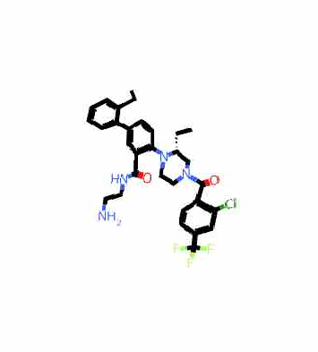 CCc1ccccc1-c1ccc(N2CCN(C(=O)c3ccc(C(F)(F)F)cc3Cl)C[C@H]2CC)c(C(=O)NCCN)c1